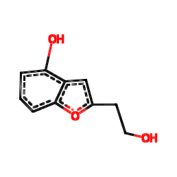 OCCc1cc2c(O)cccc2o1